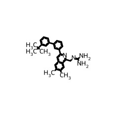 Cc1cc2cc(-c3cccc(-c4cccc(C(C)(C)C)c4)c3)nc(CN=C(N)N)c2cc1C